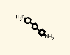 CC1CCC(c2ccc(-c3ccc(N)cc3)cc2)CC1